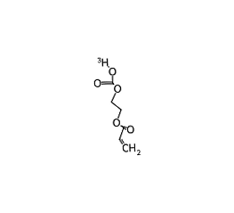 [3H]OC(=O)OCCOC(=O)C=C